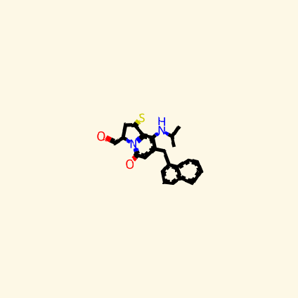 CC(C)Nc1c(Cc2cccc3ccccc23)cc(=O)n2c1C(=S)CC2C=O